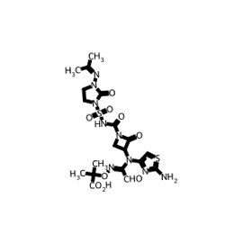 CC(C)=NN1CCN(S(=O)(=O)NC(=O)N2CC(N(C(C=O)=NOC(C)(C)C(=O)O)c3csc(N)n3)C2=O)C1=O